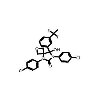 CC(F)(F)c1cccc(C2(O)N(c3ccc(Cl)cc3)C(=O)N(c3ccc(Cl)cc3)C23COC3)c1